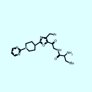 CC(C)Cc1nc(C2CCN(c3ncccn3)CC2)oc1C(=O)CNC(=O)C(N)CC(C)(C)C